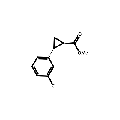 COC(=O)[C@@H]1C[C@H]1c1cccc(Cl)c1